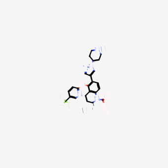 C[C@H]1CCc2c(ccc(-c3cnn(C4CCNCC4)c3)c2Oc2ccc(C(F)(F)F)cn2)N1C(=O)O